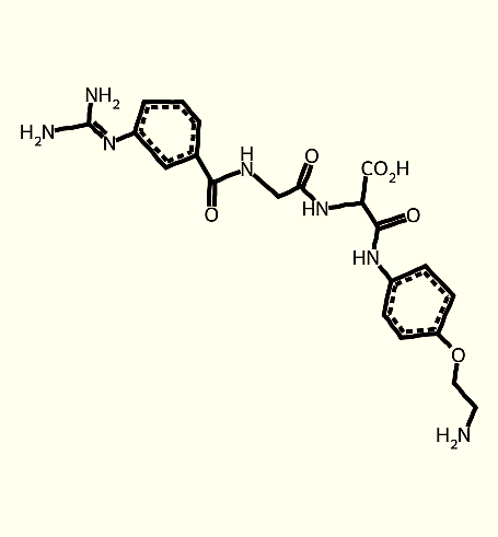 NCCOc1ccc(NC(=O)C(NC(=O)CNC(=O)c2cccc(N=C(N)N)c2)C(=O)O)cc1